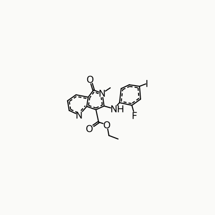 CCOC(=O)c1c(Nc2ccc(I)cc2F)n(C)c(=O)c2cccnc12